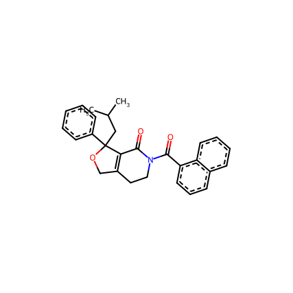 CC(C)CC1(c2ccccc2)OCC2=C1C(=O)N(C(=O)c1cccc3ccccc13)CC2